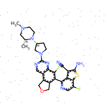 C[C@@H]1CN(C)CCN1[C@@H]1CCN(c2ncc3c4c(c(-c5ncc(F)c6sc(N)c(C#N)c56)c(F)c3n2)COC4)C1